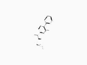 CC(C(=O)O[C@@H](C)N(C)C)c1ccc(-c2ccccc2)c(F)c1